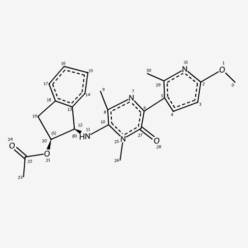 COc1ccc(-c2nc(C)c(N[C@@H]3c4ccccc4C[C@@H]3OC(C)=O)n(C)c2=O)c(C)n1